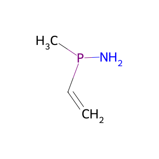 C=CP(C)N